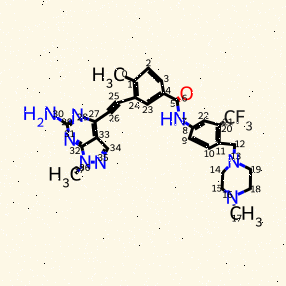 Cc1ccc(C(=O)Nc2ccc(CN3CCN(C)CC3)c(C(F)(F)F)c2)cc1C#Cc1nc(N)nc2c1cnn2C